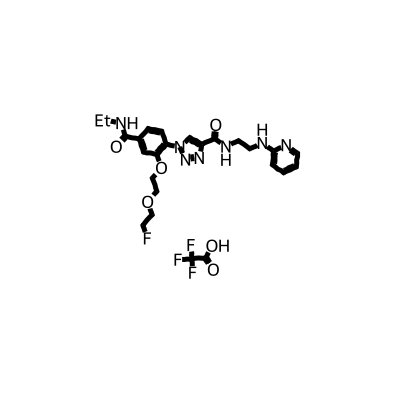 CCNC(=O)c1ccc(-n2cc(C(=O)NCCNc3ccccn3)nn2)c(OCCOCCF)c1.O=C(O)C(F)(F)F